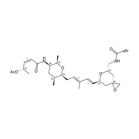 CCCC(=O)NC[C@@H]1C[C@@]2(CO2)C[C@@H](/C=C/C(C)=C/C[C@@H]2O[C@H](C)[C@H](NC(=O)/C=C\[C@H](C)OC(C)=O)C[C@@H]2C)O1